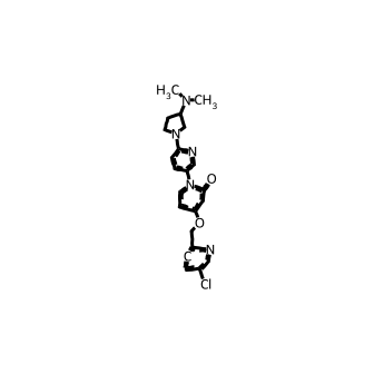 CN(C)C1CCN(c2ccc(-n3ccc(OCc4ccc(Cl)cn4)cc3=O)cn2)C1